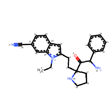 CCn1c(CCC2(C(=O)C(N)c3ccccc3)CCCN2)cc2ccc(C#N)cc21